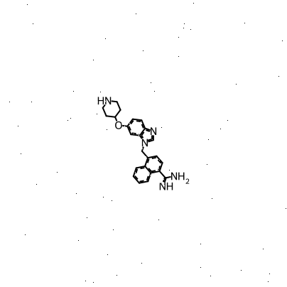 N=C(N)c1ccc(Cn2cnc3ccc(OC4CCNCC4)cc32)c2ccccc12